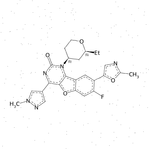 CC[C@H]1C[C@@H](n2c(=O)nc(-c3cnn(C)c3)c3oc4cc(F)c(-c5cnc(C)o5)cc4c32)CCO1